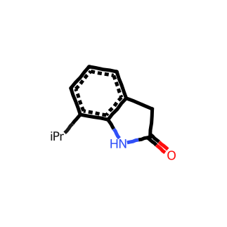 CC(C)c1cccc2c1NC(=O)C2